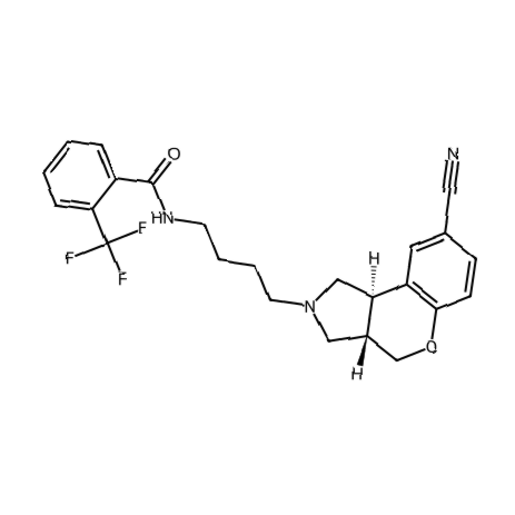 N#Cc1ccc2c(c1)[C@@H]1CN(CCCCNC(=O)c3ccccc3C(F)(F)F)C[C@H]1CO2